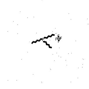 CCCCCCP(CCCCCC)CCCCCC.F[B-](F)(F)F